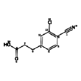 N#Cc1ccc(CCC(=O)O)cc1Cl